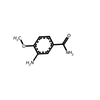 COc1ccc(C(N)=O)cc1N